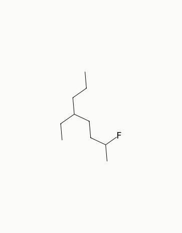 CCCC(CC)CCC(C)F